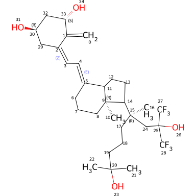 C=C1/C(=C\C=C2/CCC[C@@]3(C)C2CCC3[C@](C)(CCCC(C)(C)O)CC(O)(C(F)(F)F)C(F)(F)F)C[C@@H](O)C[C@@H]1O